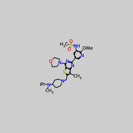 COc1ncc(-c2nc(N3CCOCC3)c3sc(CN4CCC(N(C)C(C)C)CC4)c(C)c3n2)cc1NS(C)(=O)=O